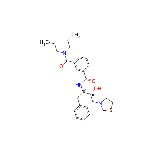 CCCN(CCC)C(=O)c1cccc(C(=O)N[C@@H](Cc2ccccc2)[C@H](O)CN2CCSC2)c1